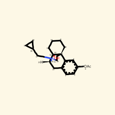 CC(=O)Oc1ccc2c(c1)[C@@]13CCCCC1(O)[C@@H](C2)N(CC1CC1)CC3